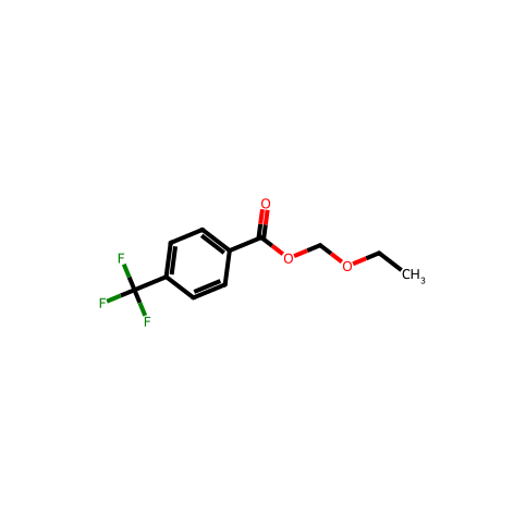 CCOCOC(=O)c1ccc(C(F)(F)F)cc1